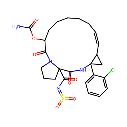 NC(=O)OC1CCCCCC=CC2CC2(c2ccccc2Cl)NC(=O)C2(C(=O)N=S(=O)=O)CCCN2C1=O